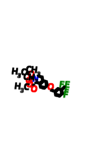 COC(=O)[C@H]1c2ccc(OCc3ccc(F)c(C(F)(F)F)c3)cc2CCN1C(=O)OC(C)(C)C